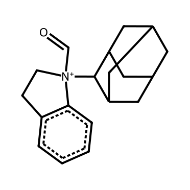 O=C[N+]1(C2C3CC4CC(C3)CC2C4)CCc2ccccc21